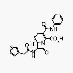 O=C(Cc1ccsc1)NC1C(=O)N2C(C(=O)O)=C(C(=O)Nc3ccccc3)CS[C@H]12